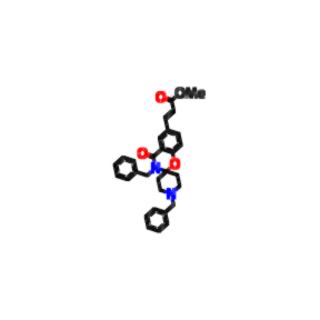 COC(=O)C=Cc1ccc2c(c1)C(=O)N(Cc1ccccc1)C1(CCN(Cc3ccccc3)CC1)O2